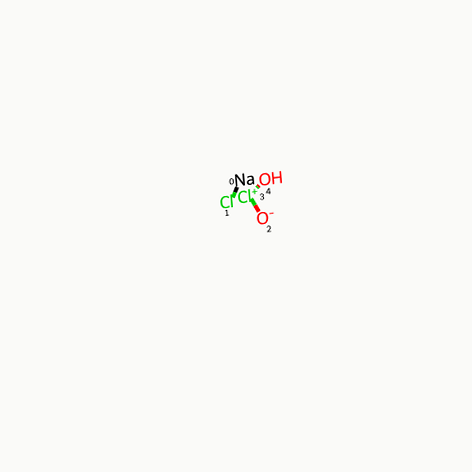 [Na][Cl].[O-][Cl+]O